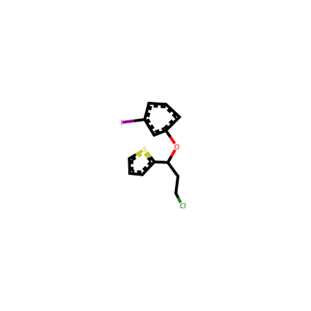 ClCCC(Oc1cccc(I)c1)c1cccs1